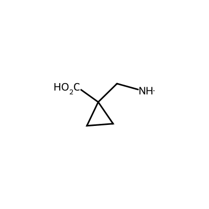 [NH]CC1(C(=O)O)CC1